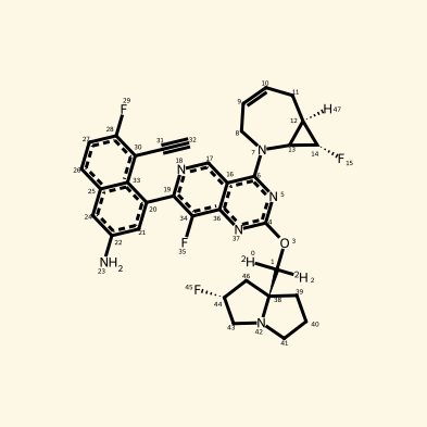 [2H]C([2H])(Oc1nc(N2CC=CC[C@@H]3C2[C@H]3F)c2cnc(-c3cc(N)cc4ccc(F)c(C#C)c34)c(F)c2n1)[C@@]12CCCN1C[C@H](F)C2